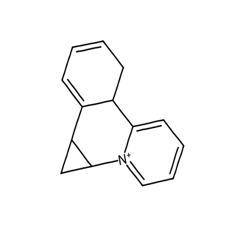 C1=CCC2C(=C1)C1CC1[n+]1ccccc12